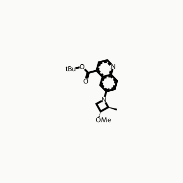 CO[C@@H]1CN(c2ccc3nccc(C(=O)OC(C)(C)C)c3c2)[C@H]1C